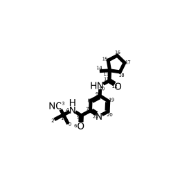 CC(C)(C#N)NC(=O)c1cc(NC(=O)C2(C)CCCC2)ccn1